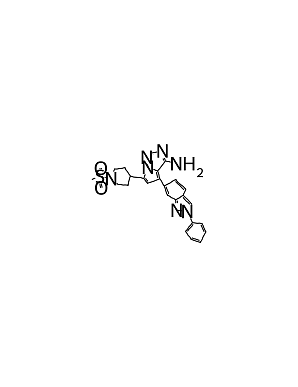 CS(=O)(=O)N1CCC(c2cc(-c3ccc4cn(-c5ccccc5)nc4c3)c3c(N)ncnn23)CC1